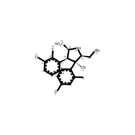 Cc1cc(Cl)ccc1[C@]1(C#N)[C@H](CC(C)(C)C)N[C@H](C(=O)O)[C@@H]1c1cccc(Cl)c1F